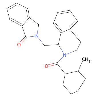 CC1CCCCC1C(=O)N1CCc2ccccc2C1CN1Cc2ccccc2C1=O